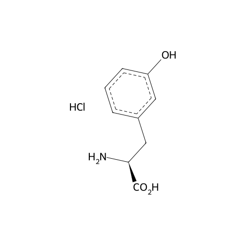 Cl.N[C@@H](Cc1cccc(O)c1)C(=O)O